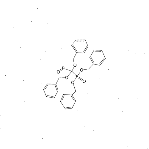 O=PC(OCc1ccccc1)(OCc1ccccc1)P(=O)(OCc1ccccc1)OCc1ccccc1